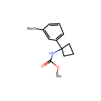 COc1cccc(C2(NC(=O)OC(C)(C)C)CCC2)c1